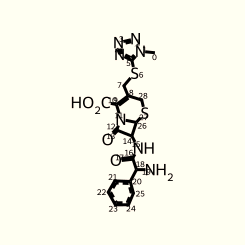 Cn1nnnc1SCC1=C(C(=O)O)N2C(=O)C(NC(=O)C(N)c3ccccc3)C2SC1